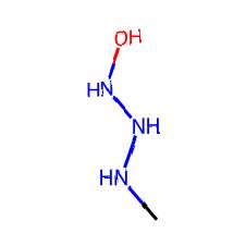 CNNNO